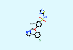 CC(C)(C)n1nccc1-c1cc(Cl)ccc1Oc1ccc(S(=O)(=O)Nc2ncns2)cc1C#N